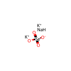 O=[Se](=O)([O-])[O-].[K+].[K+].[NaH]